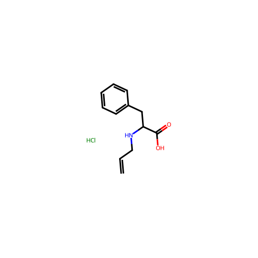 C=CCNC(Cc1ccccc1)C(=O)O.Cl